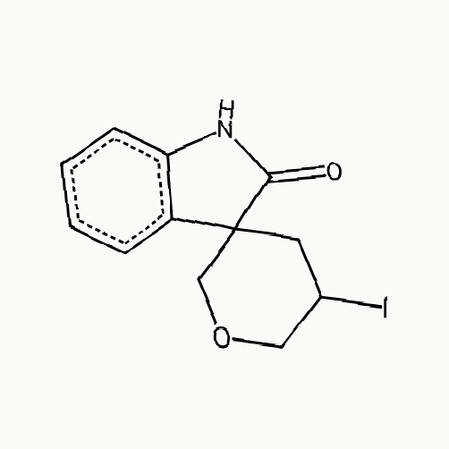 O=C1Nc2ccccc2C12COCC(I)C2